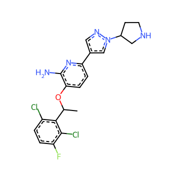 CC(Oc1ccc(-c2cnn(C3CCNC3)c2)nc1N)c1c(Cl)ccc(F)c1Cl